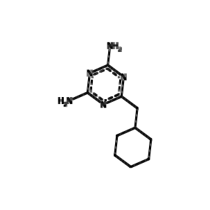 Nc1nc(N)nc(CC2CCCCC2)n1